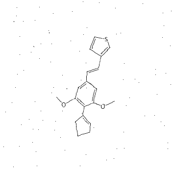 COc1cc(/C=C/c2ccsc2)cc(OC)c1C1=CCCC1